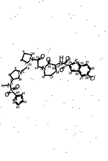 CN(C1CCN(C[C@@H]2CCCN2C(=O)CN2CCC[C@H](NS(=O)(=O)c3cc4cc(Cl)ccc4s3)C2=O)C1)S(=O)(=O)c1cccs1